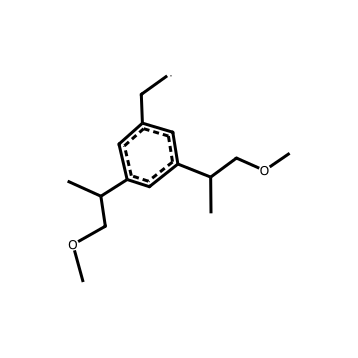 [CH2]Cc1cc(C(C)COC)cc(C(C)COC)c1